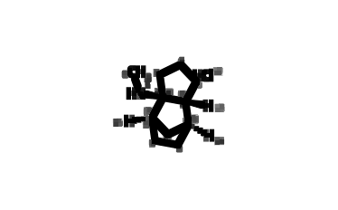 CN[C@@]12CCC[C@@H]1[C@H]1CC[C@@H]2C1.Cl